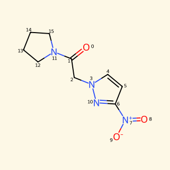 O=C(Cn1ccc([N+](=O)[O-])n1)N1CCCC1